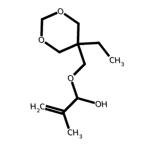 C=C(C)C(O)OCC1(CC)COCOC1